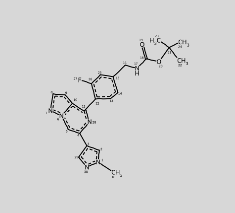 Cn1cc(-c2cn3nccc3c(-c3ccc(CNC(=O)OC(C)(C)C)cc3F)n2)cn1